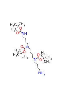 CC(C)(C)OC(=O)NCCCCN(CCCCN(CCCCN)C(=O)OC(C)(C)C)C(=O)OC(C)(C)C